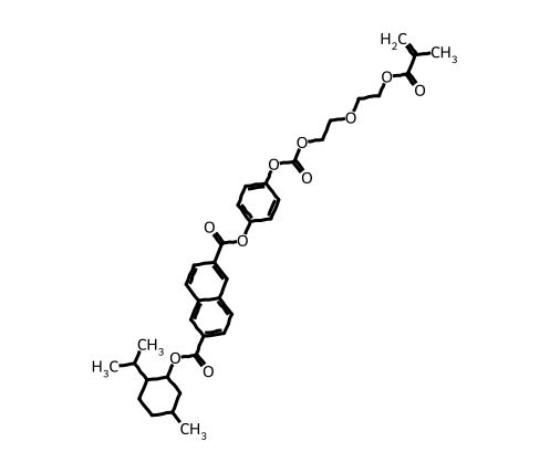 C=C(C)C(=O)OCCOCCOC(=O)Oc1ccc(OC(=O)c2ccc3cc(C(=O)OC4CC(C)CCC4C(C)C)ccc3c2)cc1